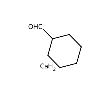 O=CC1CCCCC1.[CaH2]